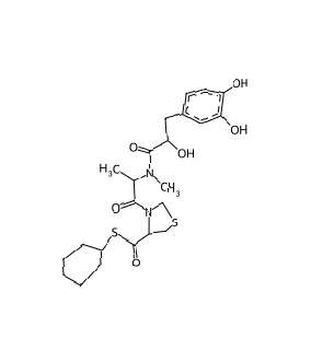 CC(C(=O)N1CSCC1C(=O)SC1CCCCC1)N(C)C(=O)C(O)Cc1ccc(O)c(O)c1